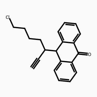 C#CC(CCCCCl)C1c2ccccc2C(=O)c2ccccc21